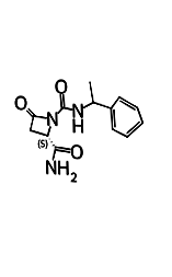 CC(NC(=O)N1C(=O)C[C@H]1C(N)=O)c1ccccc1